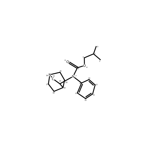 CC(C)COC(=O)N(c1ccccc1)C1CN2CCC1CC2